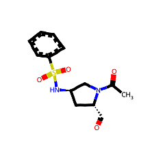 CC(=O)N1C[C@H](NS(=O)(=O)c2ccccc2)C[C@H]1C=O